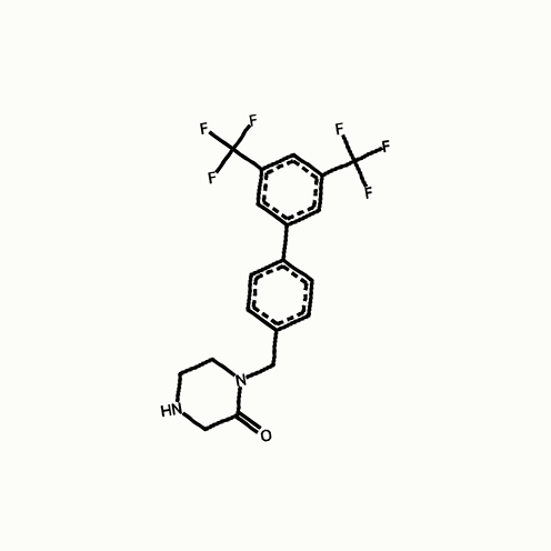 O=C1CNCCN1Cc1ccc(-c2cc(C(F)(F)F)cc(C(F)(F)F)c2)cc1